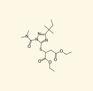 CCOC(=O)CC(Sc1nc(C(C)(C)CC)nn1C(=O)N(C)C)C(=O)OCC